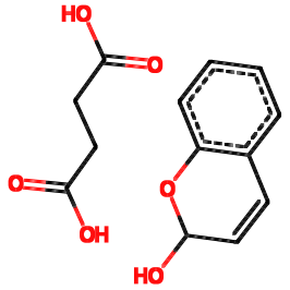 O=C(O)CCC(=O)O.OC1C=Cc2ccccc2O1